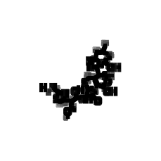 CON=C(C(=O)N[C@@H]1C(=O)N2C(C(=O)O)=C(C(S)c3nnc4cc(C)nc(O)n34)CS[C@H]12)c1csc(N)n1